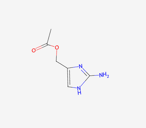 CC(=O)OCc1c[nH]c(N)n1